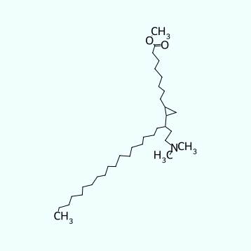 CCCCCCCCCCCCCCCCCCC(CCN(C)C)C1CC1CCCCCCCC(=O)OC